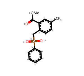 COC(=O)c1cc(C(F)(F)F)ccc1CS(=O)(=O)c1ccccc1